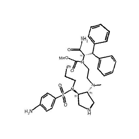 COC(=O)N(CCN(C)[C@@H]1CNC[C@H]1N(CCC(C)C)S(=O)(=O)c1ccc(N)cc1)[C@H](C(N)=O)C(c1ccccc1)c1ccccc1